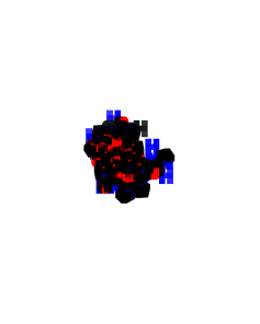 CSCC[C@H](NC(=O)[C@@H]1CCCN1)C(=O)NCC(=O)N1CCC[C@H]1C(=O)N1CCC[C@H]1C(=O)NCC(=O)N1CCC[C@H]1C(=O)N1CCC[C@H]1C(=O)NCC(=O)N1CCC[C@H]1C(=O)N1CCC[C@H]1C(=O)NCC(=O)N1CCC[C@H]1C(=O)N1CCC[C@H]1C(=O)NCC(=O)N1CCC[C@H]1C(=O)N1CCC[C@H]1C(=O)NCC(=O)N1CCC[C@H]1C(=O)N1CCC[C@H]1C(=O)NCC(=O)O